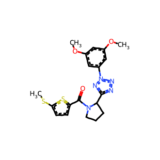 COc1cc(OC)cc(-n2nnc(C3CCCN3C(=O)c3ccc(SC)s3)n2)c1